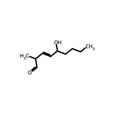 CCCCC(O)/C=C/C(C)C=O